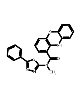 CN(C(=O)c1cccc2c1Nc1ccccc1S2)c1nnc(-c2ccccc2)s1